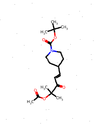 CC(=O)OC(C)(C)C(=O)C=CC1CCN(C(=O)OC(C)(C)C)CC1